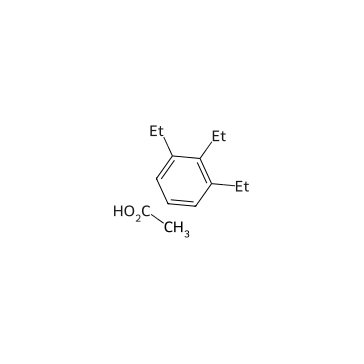 CC(=O)O.CCc1cccc(CC)c1CC